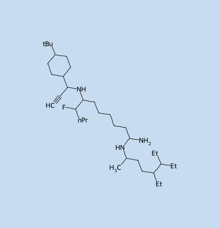 C#CC(NC(CCCCCC(N)NC(C)CCC(CC)C(CC)CC)C(F)CCC)C1CCC(C(C)(C)C)CC1